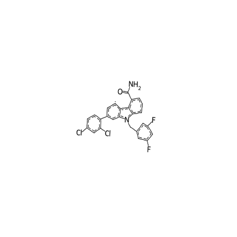 NC(=O)c1cccc2c1c1[c]cc(-c3ccc(Cl)cc3Cl)cc1n2Cc1cc(F)cc(F)c1